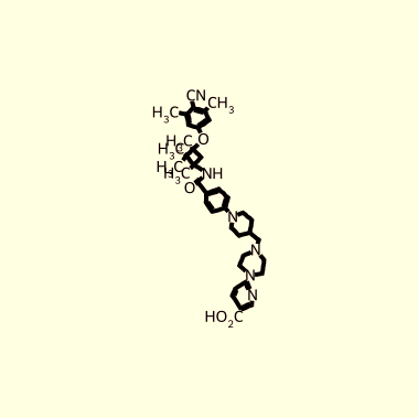 Cc1cc(OC2(C)CC(C)(NC(=O)c3ccc(N4CCC(CN5CCN(c6ccc(C(=O)O)cn6)CC5)CC4)cc3)C2(C)C)cc(C)c1C#N